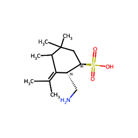 CC(C)=C1C(C)C(C)(C)C[C@@H](S(=O)(=O)O)[C@@H]1CN